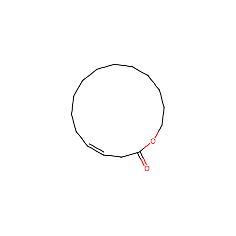 O=C1CC=CCCCCCCCCCCCO1